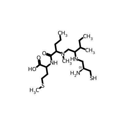 CCCC(C(=O)NC(CCSC)C(=O)O)N(C)CC(NC[C@H](N)CS)C(C)CC